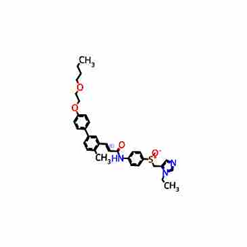 CCCCOCCOc1ccc(-c2ccc(C)c(/C=C/C(=O)Nc3ccc([S+]([O-])Cc4cncn4CC)cc3)c2)cc1